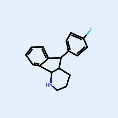 Fc1ccc(C2c3ccccc3C3NCCCC32)cc1